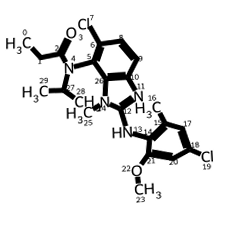 CCC(=O)N(c1c(Cl)ccc2nc(Nc3c(C)cc(Cl)cc3OC)n(C)c12)C(C)C